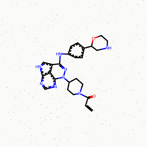 C=CC(=O)N1CCC(N2N=C(Nc3ccc(C4CNCCO4)cc3)c3c[nH]c4ncnc2c34)CC1